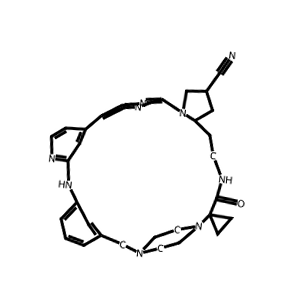 N#CC1CC2CCNC(=O)C3(CC3)N3CCN(CC3)Cc3cccc(c3)Nc3cc(ccn3)-c3cnc(nc3)N2C1